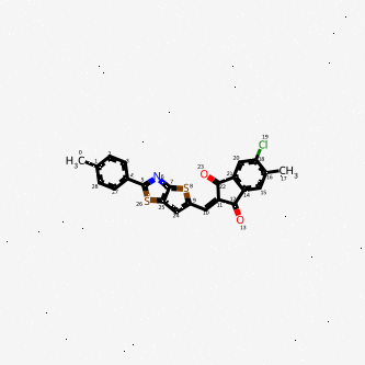 Cc1ccc(-c2nc3sc(/C=C4/C(=O)c5cc(C)c(Cl)cc5C4=O)cc3s2)cc1